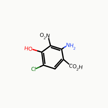 Nc1c(C(=O)O)cc(Cl)c(O)c1[N+](=O)[O-]